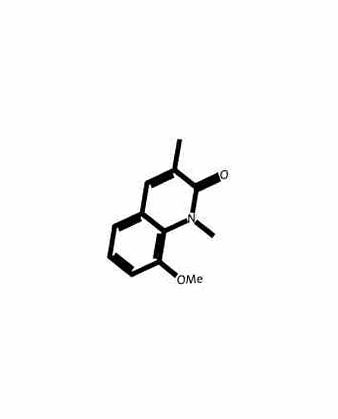 COc1cccc2cc(C)c(=O)n(C)c12